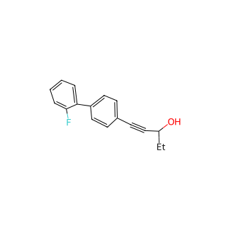 CCC(O)C#Cc1ccc(-c2ccccc2F)cc1